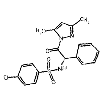 Cc1cc(C)n(C(=O)[C@@H](NS(=O)(=O)c2ccc(Cl)cc2)c2ccccc2)n1